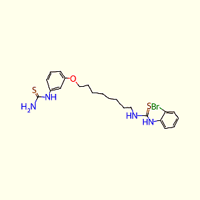 NC(=S)Nc1cccc(OCCCCCCCCNC(=S)Nc2ccccc2Br)c1